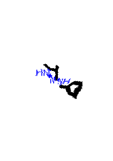 CC1NN=C(NCc2ccccc2)C1C